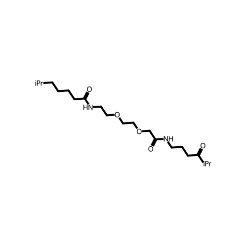 CC(C)CCCCC(=O)NCCOCCOCC(=O)NCCCC(=O)C(C)C